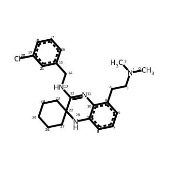 CN(C)CCc1cccc2c1N=C(NCc1cccc(Cl)c1)C1(CCCCC1)N2